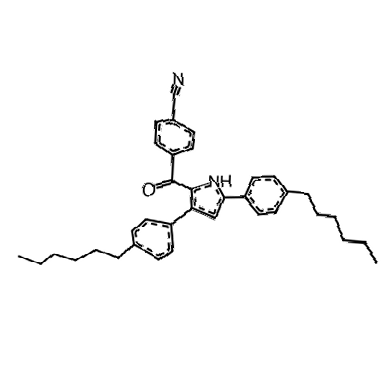 CCCCCCc1ccc(-c2cc(-c3ccc(CCCCCC)cc3)c(C(=O)c3ccc(C#N)cc3)[nH]2)cc1